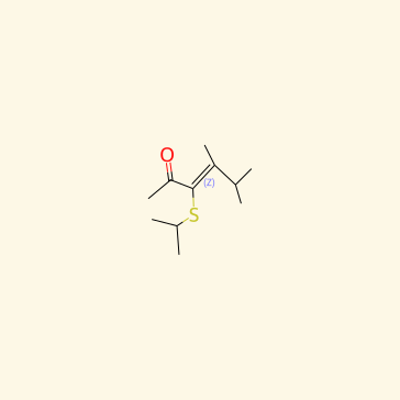 CC(=O)/C(SC(C)C)=C(\C)C(C)C